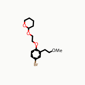 COCCc1cc(Br)ccc1OCCOC1CCCCO1